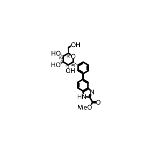 COC(=O)c1nc2cc(-c3cccc([C@H]4O[C@H](CO)[C@@H](O)[C@H](O)[C@H]4O)c3)ccc2[nH]1